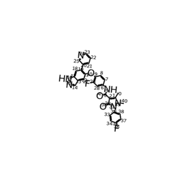 Cc1c(C(=O)Nc2ccc(Oc3cc4cn[nH]c4cc3-c3cccnc3)c(F)c2)c(=O)n(-c2ccc(F)cc2)n1C